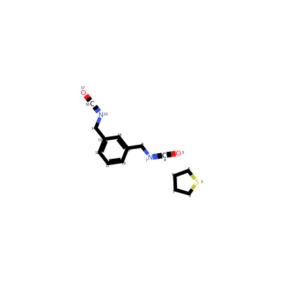 C1CCSC1.O=C=NCc1cccc(CN=C=O)c1